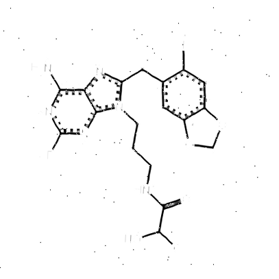 CC(O)C(=O)NCCCn1c(Cc2cc3c(cc2I)OCO3)nc2c(N)nc(F)nc21